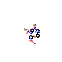 CC(C)(C)OC(=O)N1CCCC(COc2cccc(-c3nccc(N(C(=O)OC(C)(C)C)c4ccc5c(cnn5C(=O)OC(C)(C)C)c4)n3)c2)C1